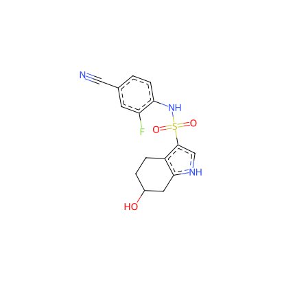 N#Cc1ccc(NS(=O)(=O)c2c[nH]c3c2CCC(O)C3)c(F)c1